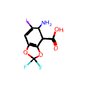 NC1C(I)=CC2=C(OC(F)(F)O2)C1C(=O)O